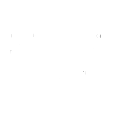 CC(C)=CC(CC(C)(C)c1ccc(C(F)(F)F)cc1)N1CCC(O)CC1